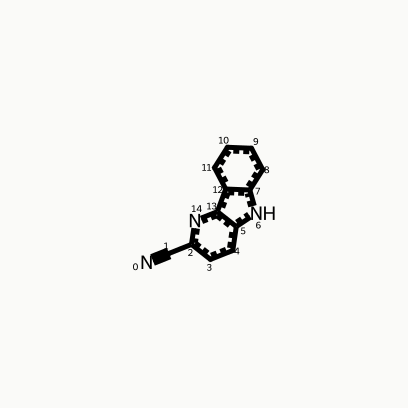 N#Cc1ccc2[nH]c3ccccc3c2n1